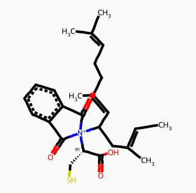 CC=C(C)CC(C=C(C)CCC=C(C)C)[N+]1([C@@H](CS)C(=O)O)C(=O)c2ccccc2C1=O